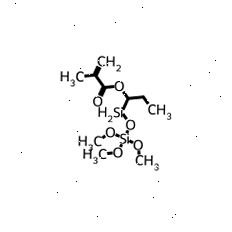 C=C(C)C(=O)OC(CC)[SiH2]O[Si](OC)(OC)OC